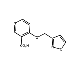 O=C(O)c1cnccc1OCc1ccon1